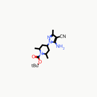 Cc1nn(C2CC(C)N(C(=O)OC(C)(C)C)C(C)C2)c(N)c1C#N